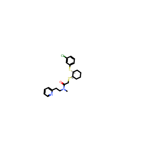 CN(CCc1ccccn1)C(=O)CS[C@@H]1CCCC[C@H]1Sc1cccc(Cl)c1